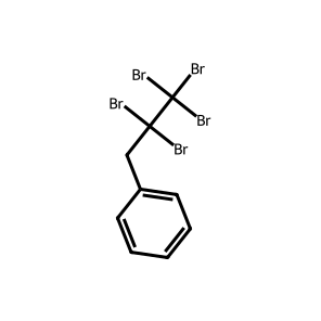 BrC(Br)(Br)C(Br)(Br)Cc1ccccc1